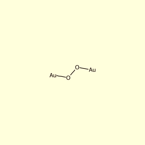 [Au][O][O][Au]